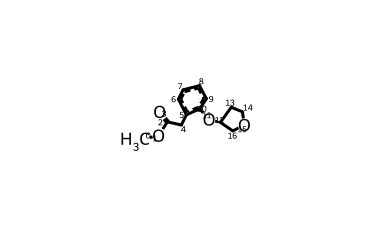 COC(=O)Cc1ccccc1O[C@H]1CCOC1